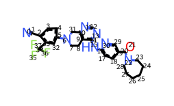 N#Cc1ccc(N2CCc3c(ncnc3Nc3ccc(C(=O)N4CCCCCC4)cn3)C2)cc1C(F)(F)F